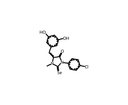 CN1C(=[Se])N(c2ccc(Cl)cc2)C(=O)C1=Cc1cc(O)cc(O)c1